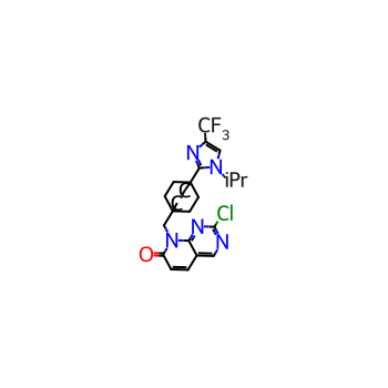 CC(C)n1cc(C(F)(F)F)nc1C12CCC(Cn3c(=O)ccc4cnc(Cl)nc43)(CC1)CC2